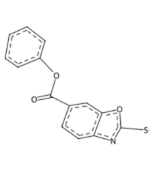 O=C(Oc1ccccc1)c1ccc2nc([S])oc2c1